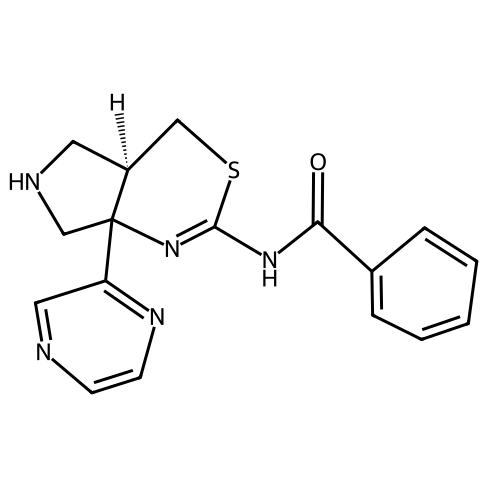 O=C(NC1=NC2(c3cnccn3)CNC[C@H]2CS1)c1ccccc1